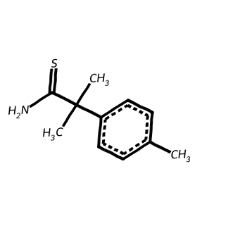 Cc1ccc(C(C)(C)C(N)=S)cc1